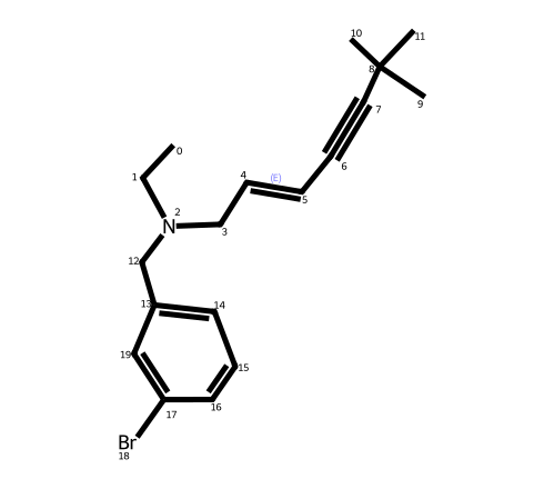 CCN(C/C=C/C#CC(C)(C)C)Cc1cccc(Br)c1